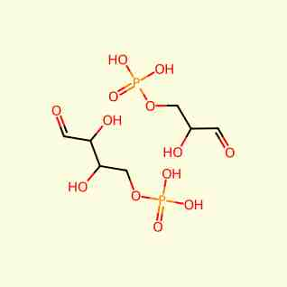 O=CC(O)C(O)COP(=O)(O)O.O=CC(O)COP(=O)(O)O